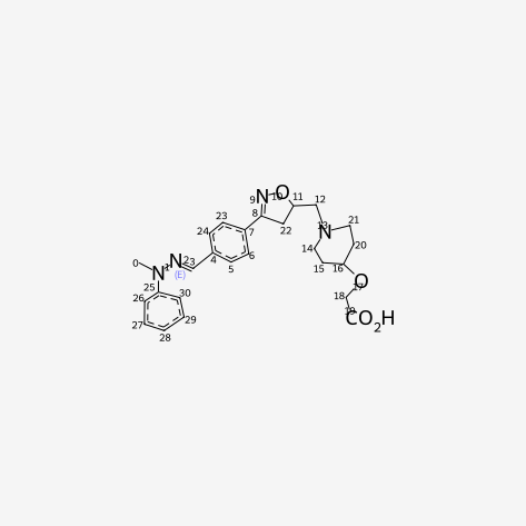 CN(/N=C/c1ccc(C2=NOC(CN3CCC(OCC(=O)O)CC3)C2)cc1)c1ccccc1